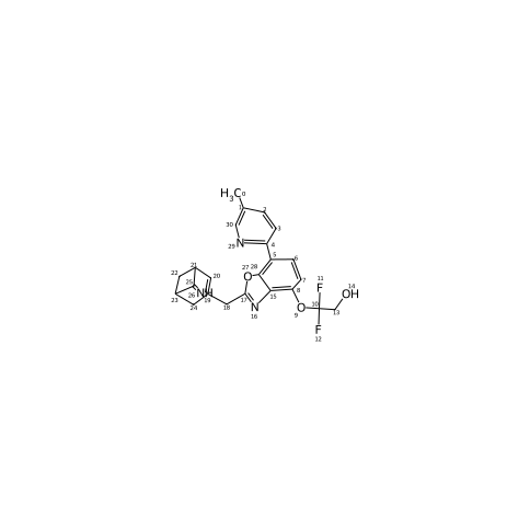 Cc1ccc(-c2ccc(OC(F)(F)CO)c3nc(CC4=CC5CC(C4)C5=N)oc23)nc1